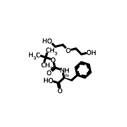 CC(C)(C)OC(=O)N[C@@H](Cc1ccccc1)C(=O)O.OCCOCCO